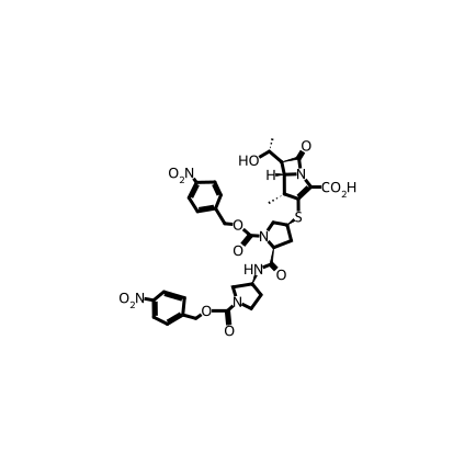 C[C@@H](O)[C@H]1C(=O)N2C(C(=O)O)=C(S[C@H]3C[C@@H](C(=O)N[C@H]4CCN(C(=O)OCc5ccc([N+](=O)[O-])cc5)C4)N(C(=O)OCc4ccc([N+](=O)[O-])cc4)C3)[C@H](C)[C@H]12